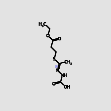 CCOC(=O)CCS/C(C)=N/NC(=O)O